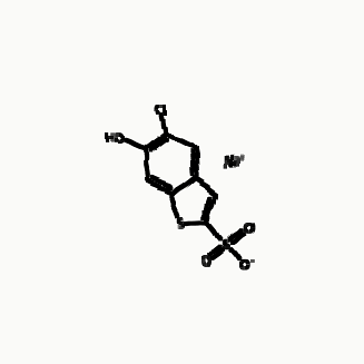 O=S(=O)([O-])c1cc2cc(Cl)c(O)cc2s1.[Na+]